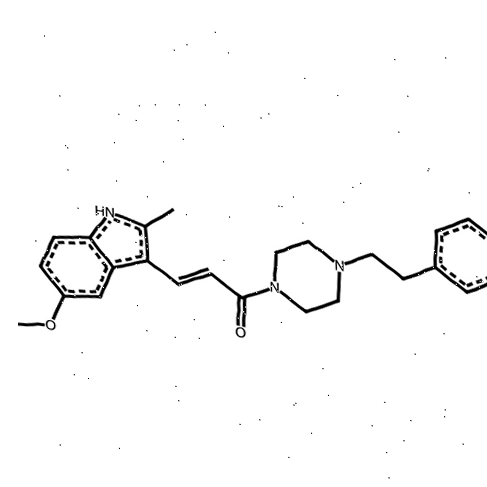 COc1ccc2[nH]c(C)c(/C=C/C(=O)N3CCN(CCc4ccccc4)CC3)c2c1